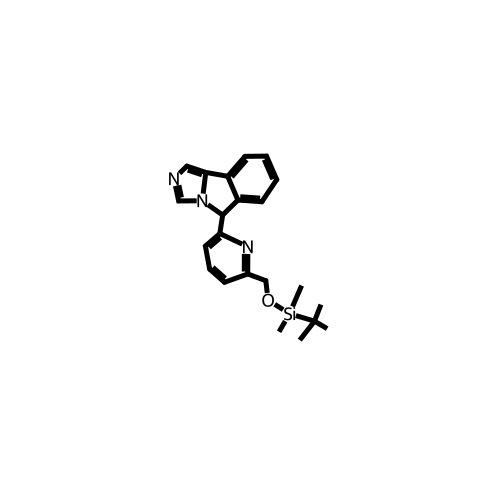 CC(C)(C)[Si](C)(C)OCc1cccc(C2c3ccccc3-c3cncn32)n1